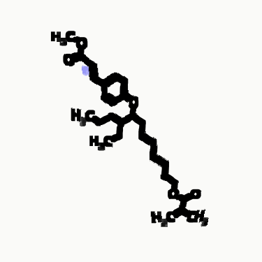 C=C(C)C(=O)OCCCCCCCC(Oc1ccc(/C=C/C(=O)OC)cc1)C(CC)CCC